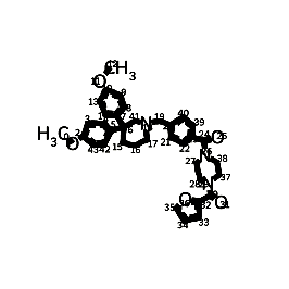 COc1ccc(C2(c3ccc(OC)cc3)CCCN(Cc3ccc(C(=O)N4CCN(C(=O)c5ccco5)CC4)cc3)C2)cc1